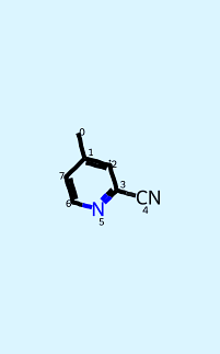 Cc1[c]c(C#N)ncc1